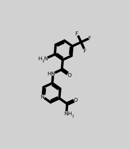 NC(=O)c1cncc(NC(=O)c2cc(C(F)(F)F)ccc2N)c1